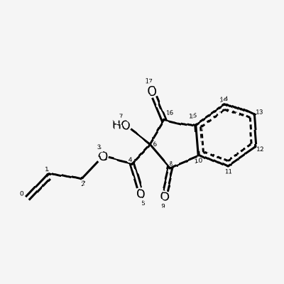 C=CCOC(=O)C1(O)C(=O)c2ccccc2C1=O